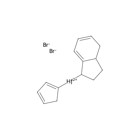 C1=CC[C]([Hf+2][CH]2CCC3CC=CC=C32)=C1.[Br-].[Br-]